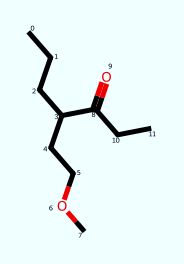 CCCC(CCOC)C(=O)CC